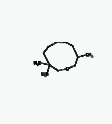 BC1(C)CCCCCC(C)CCC1